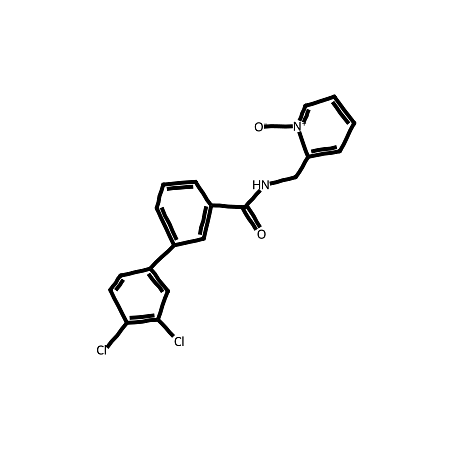 O=C(NCc1cccc[n+]1[O-])c1cccc(-c2ccc(Cl)c(Cl)c2)c1